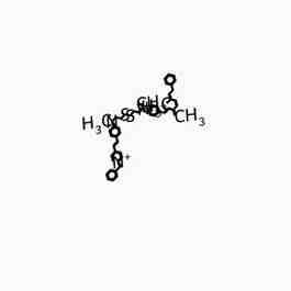 C/C=C(\C=C/C(C)=C\Cc1ccccc1)/C=C/c1ccc(N(C)CCSSCCN(C)c2ccc(/C=C/c3cc[n+](Cc4ccccc4)cc3)cc2)cc1